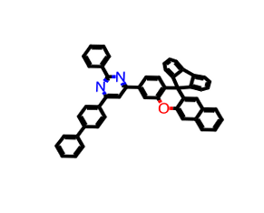 c1ccc(-c2ccc(-c3cc(-c4ccc5c(c4)Oc4cc6ccccc6cc4C54c5ccccc5-c5ccccc54)nc(-c4ccccc4)n3)cc2)cc1